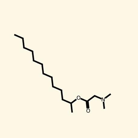 CCCCCCCCCCCC(C)OC(=O)CN(C)C